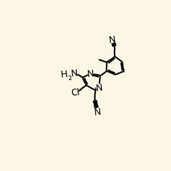 Cc1c(C#N)cccc1-c1nc(N)c(Cl)c(C#N)n1